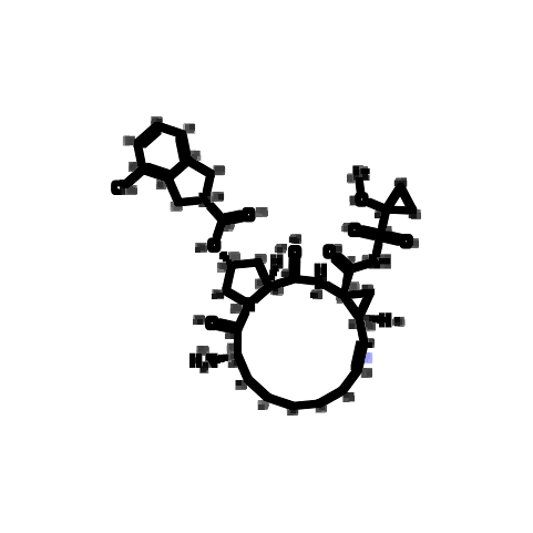 CCOC1(S(=O)(=O)NC(=O)[C@@]23C[C@H]2/C=C\CCCCC[C@H](N)C(=O)N2C[C@H](OC(=O)N4Cc5cccc(Cl)c5C4)C[C@H]2C(=O)N3)CC1